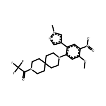 COc1cc(N2CCC3(CCN(C(=O)C(F)(F)F)CC3)CC2)c(-c2cnn(C)c2)cc1[N+](=O)[O-]